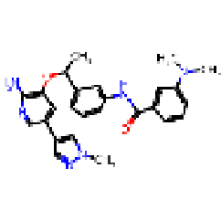 CC(Oc1cc(-c2cnn(C)c2)cnc1N)c1cccc(NC(=O)c2cccc(N(C)C)c2)c1